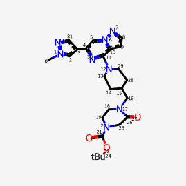 Cn1cc(-c2cn3nccc3c(N3CCC(CN4CCN(C(=O)OC(C)(C)C)CC4=O)CC3)n2)cn1